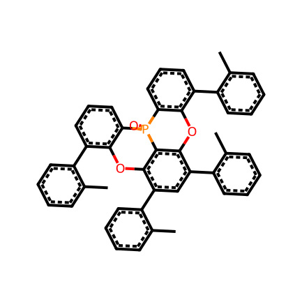 Cc1ccccc1-c1cccc2c1Oc1c(-c3ccccc3C)cc(-c3ccccc3C)c3c1P2(=O)c1cccc(-c2ccccc2C)c1O3